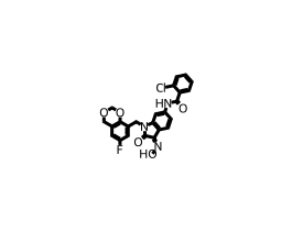 O=C(Nc1ccc2c(c1)N(Cc1cc(F)cc3c1OCOC3)C(=O)/C2=N\O)c1ccccc1Cl